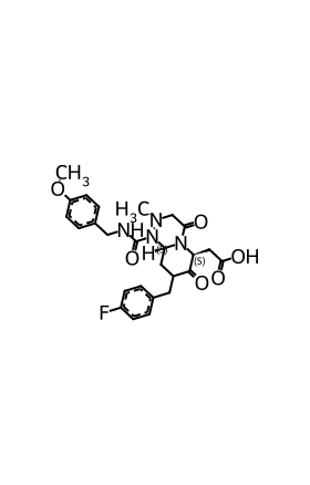 COc1ccc(CNC(=O)N2[C@H]3CC(Cc4ccc(F)cc4)C(=O)[C@H](CC(=O)O)N3C(=O)CN2C)cc1